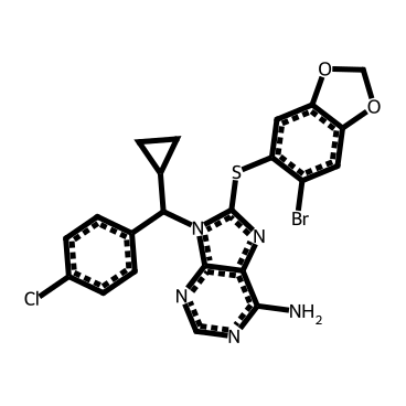 Nc1ncnc2c1nc(Sc1cc3c(cc1Br)OCO3)n2C(c1ccc(Cl)cc1)C1CC1